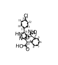 NS(=O)(=O)c1ccccc1C(C(=O)O)c1cc(-c2ccc(Cl)cc2)[nH]n1